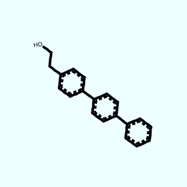 OCCc1ccc(-c2ccc(-c3ccccc3)cc2)cc1